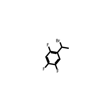 CC(Br)c1cc(F)c(F)cc1F